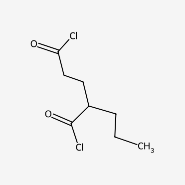 CCCC(CCC(=O)Cl)C(=O)Cl